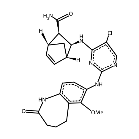 COc1c(Nc2ncc(Cl)c(N[C@@H]3[C@H](C(N)=O)[C@H]4C=C[C@@H]3C4)n2)ccc2c1CCCC(=O)N2